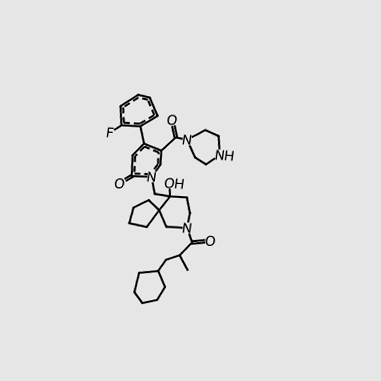 CC(CC1CCCCC1)C(=O)N1CCC(O)(Cn2cc(C(=O)N3CCNCC3)c(-c3ccccc3F)cc2=O)C2(CCCC2)C1